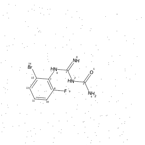 N=C(NC(N)=O)Nc1c(F)cccc1Br